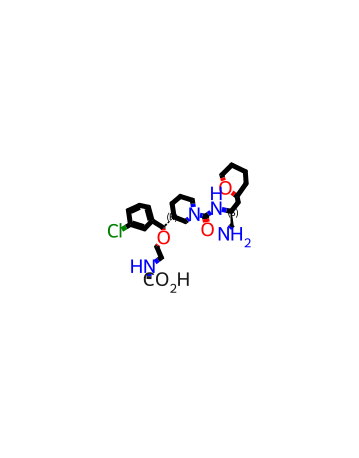 NC[C@H](CC1CCCCO1)NC(=O)N1CCC[C@@H](C(OCCNC(=O)O)c2cccc(Cl)c2)C1